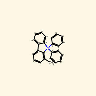 Cc1cccc2c1[N+](c1ccccc1)(c1ccccc1)c1ccccc1-2